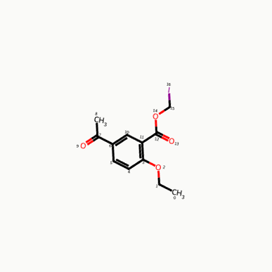 CCOc1ccc(C(C)=O)cc1C(=O)OCI